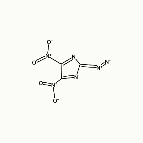 [N-]=[N+]=C1N=C([N+](=O)[O-])C([N+](=O)[O-])=N1